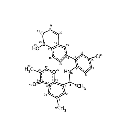 Cc1cc(C(C)Nc2ccc(Cl)cc2-c2ccc3c(c2)C=NOB3O)c2occ(C)c(=O)c2c1